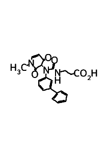 CN1C=CC(=O)[C@H](N(C(=O)NCCC(=O)O)c2cccc(-c3ccccc3)c2)C1=O